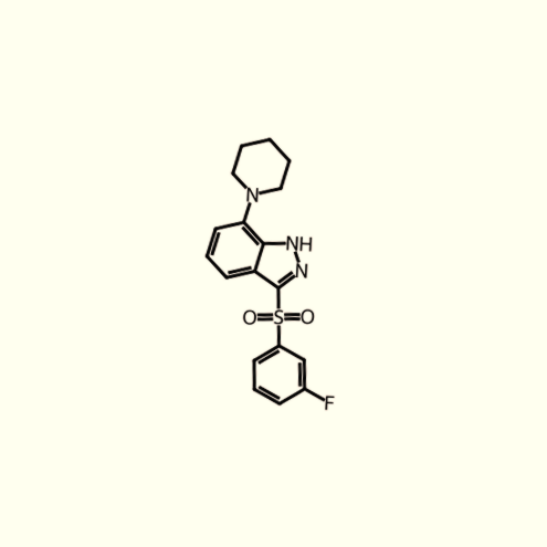 O=S(=O)(c1cccc(F)c1)c1n[nH]c2c(N3CCCCC3)cccc12